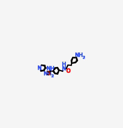 Nc1ccc(CCC(=O)NCc2ccc(C(=O)Nc3ccncc3N)cc2)cc1